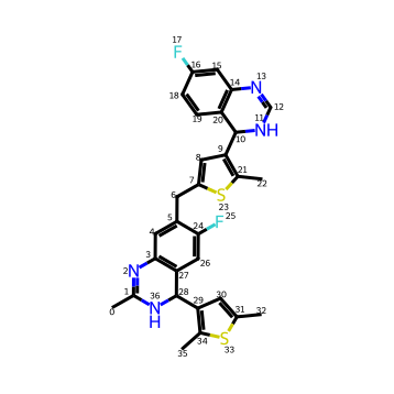 CC1=Nc2cc(Cc3cc(C4NC=Nc5cc(F)ccc54)c(C)s3)c(F)cc2C(c2cc(C)sc2C)N1